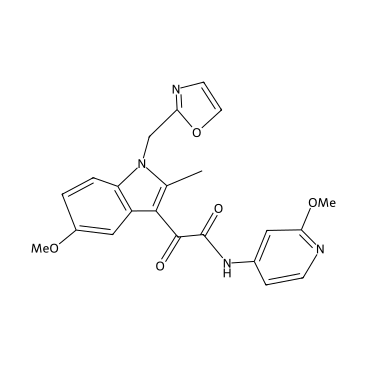 COc1ccc2c(c1)c(C(=O)C(=O)Nc1ccnc(OC)c1)c(C)n2Cc1ncco1